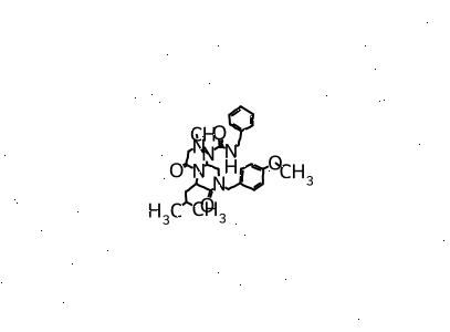 COc1ccc(CN2CC3N(C(=O)CN(C)N3C(=O)NCc3ccccc3)C(CC(C)C)C2=O)cc1